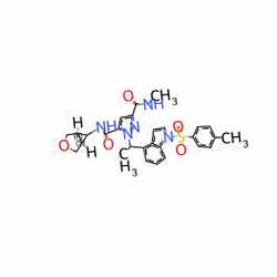 CNC(=O)c1cc(C(=O)NC2[C@H]3COC[C@@H]23)n(C(C)c2cccc3c2ccn3S(=O)(=O)c2ccc(C)cc2)n1